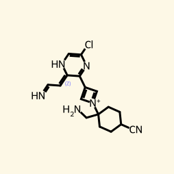 N#CC1CCC(CN)([N+]2=CC(C3=NC(Cl)=CN/C3=C\C=N)=C2)CC1